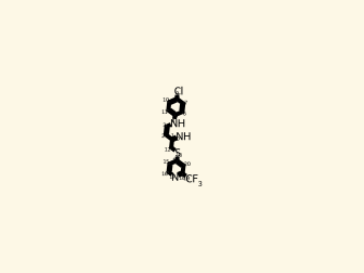 N=C(/C=C\Nc1ccc(Cl)cc1)CSc1ccnc(C(F)(F)F)c1